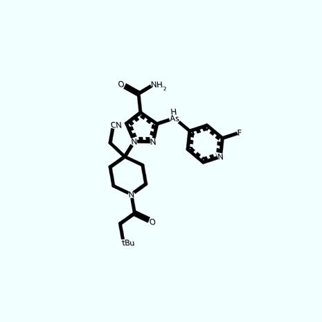 CC(C)(C)CC(=O)N1CCC(CC#N)(n2cc(C(N)=O)c([AsH]c3ccnc(F)c3)n2)CC1